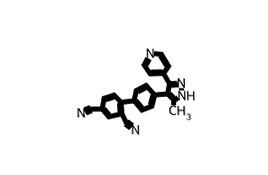 Cc1[nH]nc(-c2ccncc2)c1-c1ccc(-c2ccc(C#N)cc2C#N)cc1